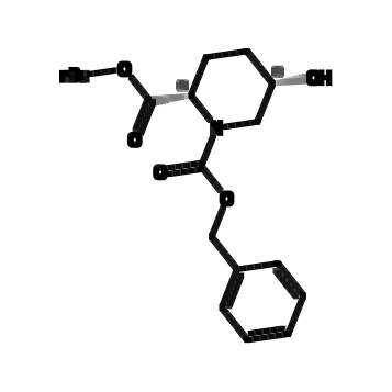 CCCCOC(=O)[C@@H]1CC[C@H](O)CN1C(=O)OCc1ccccc1